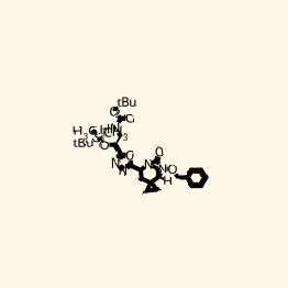 CC(C)(C)OC(=O)NC[C@H](O[Si](C)(C)C(C)(C)C)c1nnc(C2CC3(CC3)[C@@H]3CN2C(=O)N3OCc2ccccc2)o1